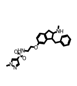 CNC1Cc2ccc(OCCNS(=O)(=O)c3cnn(C)c3)cc2C1Cc1ccccc1